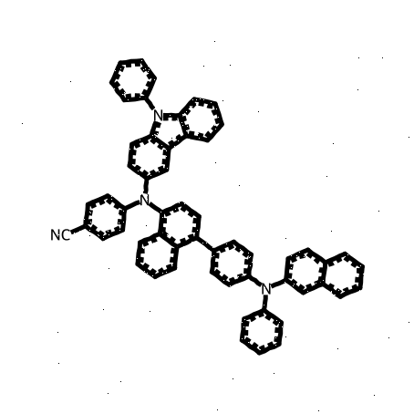 N#Cc1ccc(N(c2ccc3c(c2)c2ccccc2n3-c2ccccc2)c2ccc(-c3ccc(N(c4ccccc4)c4ccc5ccccc5c4)cc3)c3ccccc23)cc1